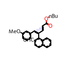 CCCCOC(=O)/C=C/C(=C/c1cccc(OC)c1)c1c(C=O)ccc2ccccc12